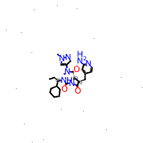 CC[C@@H](NC(=O)N1C(=O)[C@H](Cc2ccnc(N)c2)[C@H]1C(=O)N(C)c1cnn(C)c1)C1CCCCC1